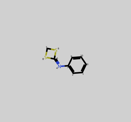 c1ccc(N=C2SCS2)cc1